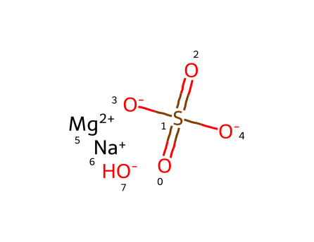 O=S(=O)([O-])[O-].[Mg+2].[Na+].[OH-]